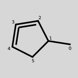 CC1C=C=CC1